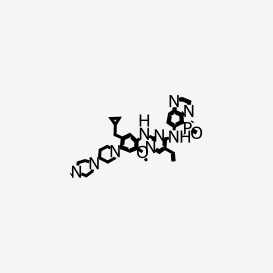 C=Cc1cnc(Nc2cc(CC3CC3)c(N3CCC(N4CCN(C)CC4)CC3)cc2OC)nc1Nc1ccc2nccnc2c1P(C)(C)=O